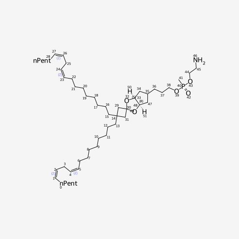 CCCCC/C=C\C/C=C\CCCCCCCCC1(CCCCCCCC/C=C\C/C=C\CCCCC)CC2(C1)O[C@H]1CC(CCCOP(C)(=O)OCCN)C[C@H]1O2